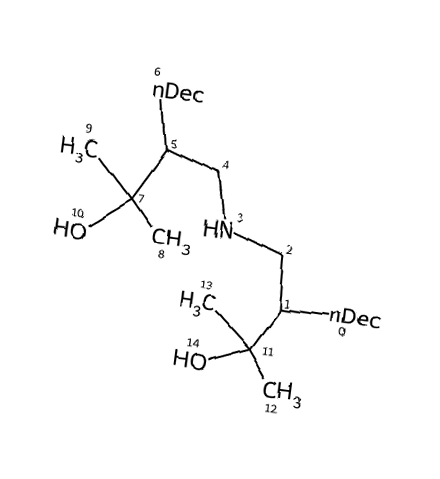 CCCCCCCCCCC(CNCC(CCCCCCCCCC)C(C)(C)O)C(C)(C)O